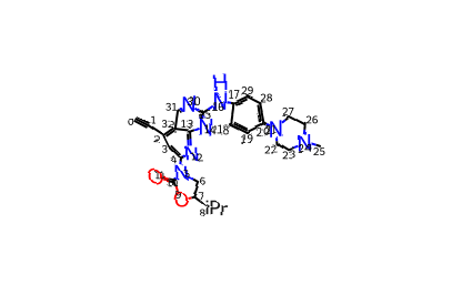 C#Cc1cc(N2CC(C(C)C)OC2=O)nc2nc(Nc3ccc(N4CCN(C)CC4)cc3)ncc12